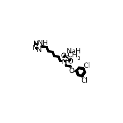 CS(=O)(=O)N(CCCCCCc1nnn[nH]1)CCOc1cc(Cl)cc(Cl)c1.[NaH]